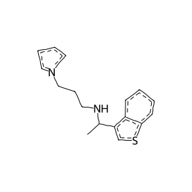 CC(NCCCn1cccc1)c1csc2ccccc12